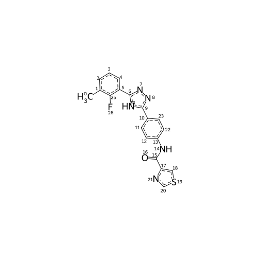 Cc1cccc(-c2nnc(-c3ccc(NC(=O)c4cscn4)cc3)[nH]2)c1F